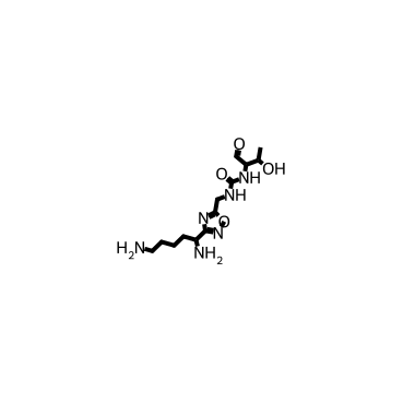 CC(O)C(C=O)NC(=O)NCc1nc(C(N)CCCCN)no1